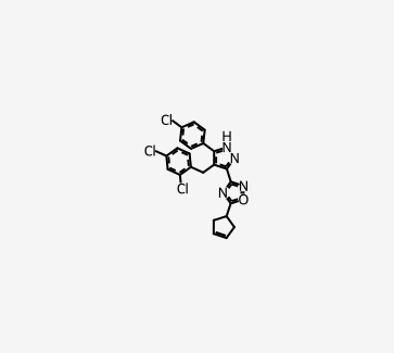 Clc1ccc(-c2[nH]nc(-c3noc(C4CC=CC4)n3)c2Cc2ccc(Cl)cc2Cl)cc1